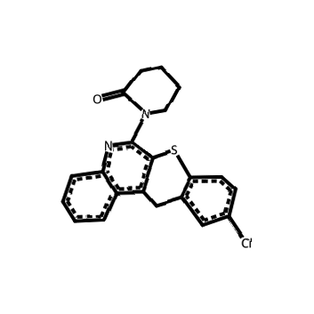 O=C1CCCCN1c1nc2ccccc2c2c1Sc1ccc(Cl)cc1C2